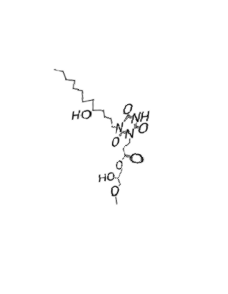 CCCCCCCCC(O)CCCCn1c(=O)[nH]c(=O)n(CCC(=O)OCC(O)COC)c1=O